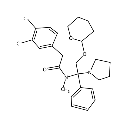 CN(C(=O)Cc1ccc(Cl)c(Cl)c1)C(COC1CCCCO1)(c1ccccc1)N1CCCC1